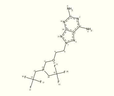 Nc1nc(N)c2nn(CCOCP(CC(F)(F)F)CC(F)(F)F)nc2n1